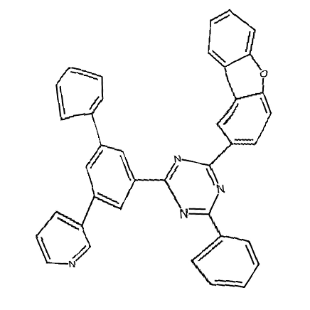 c1ccc(-c2cc(-c3cccnc3)cc(-c3nc(-c4ccccc4)nc(-c4ccc5oc6ccccc6c5c4)n3)c2)cc1